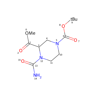 COC(=O)C1CN(C(=O)OC(C)(C)C)CCN1C(N)=O